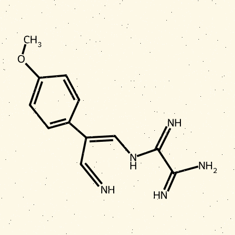 COc1ccc(/C(C=N)=C/NC(=N)C(=N)N)cc1